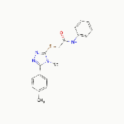 CCn1c(SCC(=O)Nc2ccccc2)nnc1-c1ccc(C)cc1